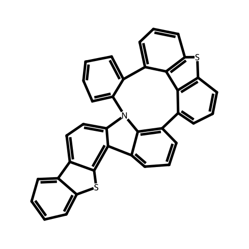 c1ccc2c(c1)sc1c2ccc2c1c1cccc3c4cccc5sc6cccc(c7ccccc7n2c31)c6c54